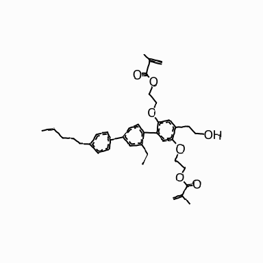 C=C(C)C(=O)OCCOc1cc(-c2ccc(-c3ccc(CCCCC)cc3)cc2CC)c(OCCOC(=O)C(=C)C)cc1CCO